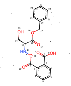 O=C(O)c1ccccc1C(=O)ON[C@@H](CO)C(=O)OCc1ccccc1